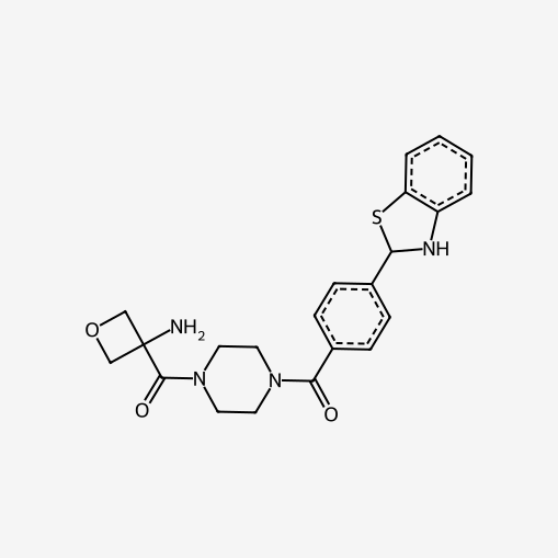 NC1(C(=O)N2CCN(C(=O)c3ccc(C4Nc5ccccc5S4)cc3)CC2)COC1